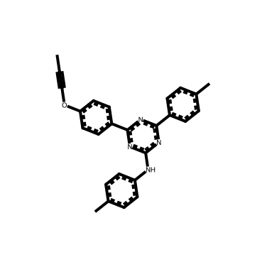 CC#COc1ccc(-c2nc(Nc3ccc(C)cc3)nc(-c3ccc(C)cc3)n2)cc1